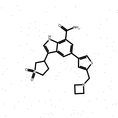 NC(=O)c1cc(-c2csc(CN3CCC3)c2)cc2c(C3CCS(=O)(=O)C3)c[nH]c12